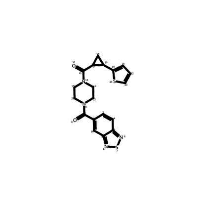 O=C(c1ccc2nsnc2c1)N1CCN(C(=O)C2CC2c2cccs2)CC1